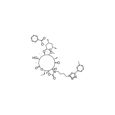 CC[C@H]1OC(=O)[C@H](C)[C@@H](O)[C@H](C)[C@@H](O[C@@H]2O[C@H](C)C[C@H](C)[C@H]2OC(=O)c2ccccc2)[C@@](C)(OC)C[C@@H](C)C(=O)[C@H](C)[C@@H]2N(CCCCn3cc(-c4cccc(C)c4)nn3)C(=O)O[C@@]21C